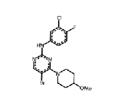 COC1CCN(c2nc(Nc3ccc(F)c(Cl)c3)ncc2Br)CC1